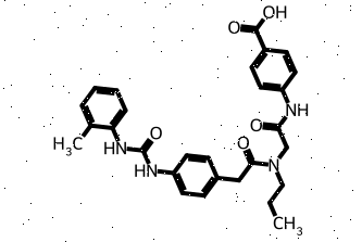 CCCN(CC(=O)Nc1ccc(C(=O)O)cc1)C(=O)Cc1ccc(NC(=O)Nc2ccccc2C)cc1